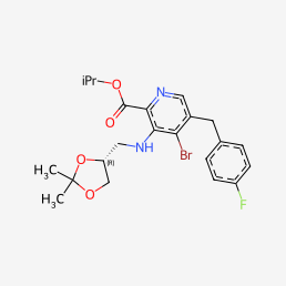 CC(C)OC(=O)c1ncc(Cc2ccc(F)cc2)c(Br)c1NC[C@@H]1COC(C)(C)O1